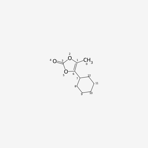 Cc1oc(=O)oc1C1CCCCC1